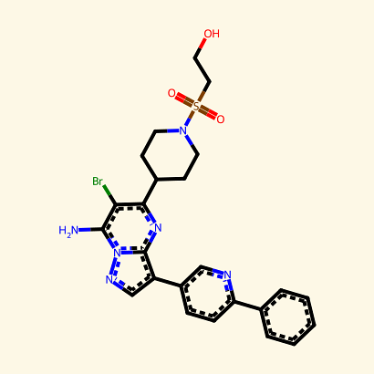 Nc1c(Br)c(C2CCN(S(=O)(=O)CCO)CC2)nc2c(-c3ccc(-c4ccccc4)nc3)cnn12